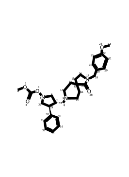 COC(=O)ON1C[C@H](CN2CCC3(CC2)CCN(Cc2ccc(OC)cc2)C3=O)[C@@H](c2ccccc2)C1